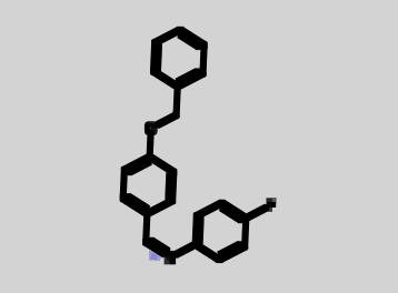 Fc1ccc(/N=C\c2ccc(OCc3ccccc3)cc2)cc1